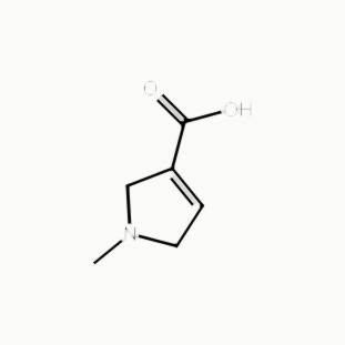 CN1CC=C(C(=O)O)C1